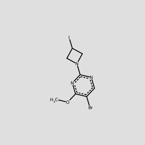 COc1nc(N2CC(I)C2)ncc1Br